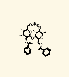 CC(=O)OCC1O[C@@H](O[C@@H]2C(COC(=O)c3ccccc3)O[C@H](C)C(N=[N+]=[N-])[C@H]2C)C(OC(=O)c2ccccc2)[C@@H](C)[C@@H]1C